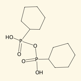 O=P(O)(OP(=O)(O)C1CCCCC1)C1CCCCC1